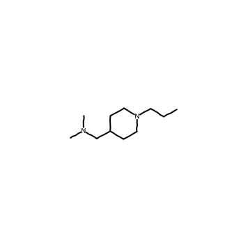 CCCN1CCC(CN(C)C)CC1